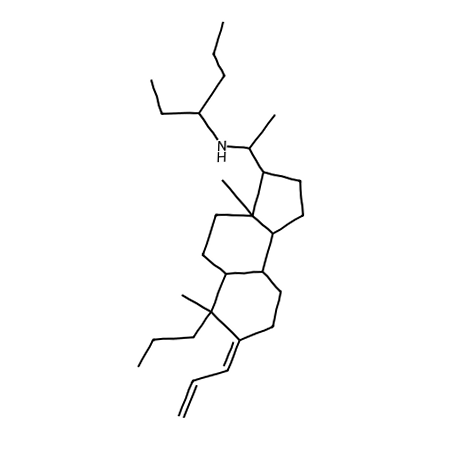 C=C/C=C1/CCC2C(CCC3(C)C(C(C)NC(CC)CCC)CCC23)C1(C)CCC